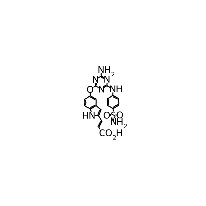 Nc1nc(Nc2ccc(S(N)(=O)=O)cc2)nc(Oc2ccc3[nH]c(/C=C/C(=O)O)cc3c2)n1